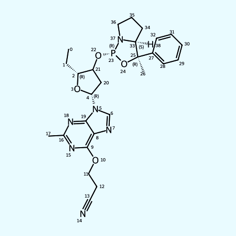 CC[C@H]1O[C@@H](n2cnc3c(OCCC#N)nc(C)nc32)CC1O[P@@]1O[C@](C)(c2ccccc2)[C@@H]2CCCN21